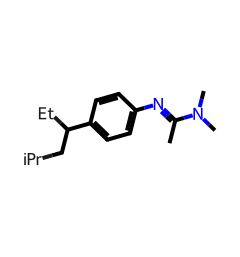 CCC(CC(C)C)c1ccc(/N=C(\C)N(C)C)cc1